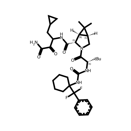 CC(C)(C)[C@H](NC(=O)NC1(C(F)(F)c2ccccc2)CCCCC1)C(=O)N1C[C@H]2[C@@H]([C@H]1C(=O)NC(CC1CC1)C(=O)C(N)=O)C2(C)C